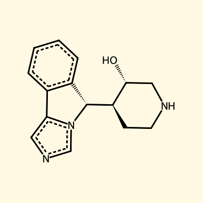 O[C@@H]1CNCC[C@H]1[C@H]1c2ccccc2-c2cncn21